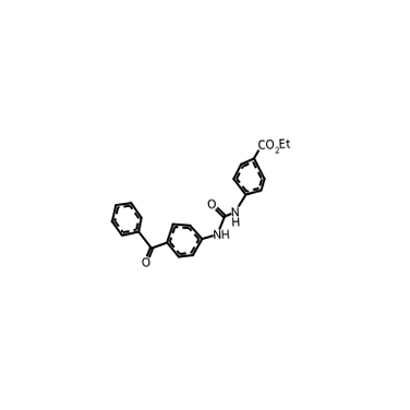 CCOC(=O)c1ccc(NC(=O)Nc2ccc(C(=O)c3ccccc3)cc2)cc1